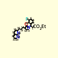 CCOC(=O)CC(c1cccc(F)c1)N1CCC(CCCc2ccc3cccnc3n2)C1=O